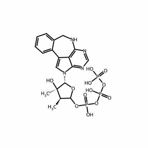 C[C@@H]1C(OP(=O)(O)OP(=O)(O)OP(=O)(O)O)O[C@@H](n2cc3c4c(ncnc42)NCc2ccccc2-3)[C@]1(C)O